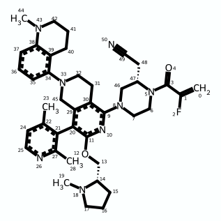 C=C(F)C(=O)N1CCN(c2nc(OC[C@@H]3CCCN3C)c(-c3c(C)ccnc3C)c3c2CCN(c2cccc4c2CCCN4C)C3)C[C@@H]1CC#N